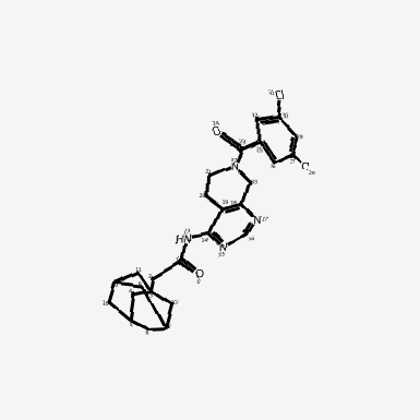 O=C(CC12CC3CC(CC(C3)C1)C2)Nc1ncnc2c1CCN(C(=O)c1cc(Cl)cc(Cl)c1)C2